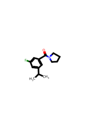 CC(C)c1cc(F)cc(C(=O)N2CCCC2)c1